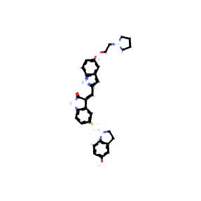 O=C1Nc2ccc(S(=O)(=O)N3CCc4cc(Br)ccc43)cc2C1=Cc1cc2cc(OCCN3CCCC3)ccc2[nH]1